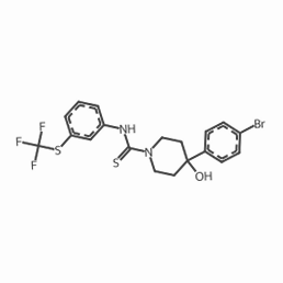 OC1(c2ccc(Br)cc2)CCN(C(=S)Nc2cccc(SC(F)(F)F)c2)CC1